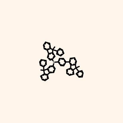 CC1(c2ccccc2)c2ccccc2-c2ccc(N(c3ccc(-c4cccc5c4-c4ccccc4C5(C)c4ccccc4)cc3)c3ccc4c(c3)C(C)(c3ccccc3)c3ccccc3-4)cc21